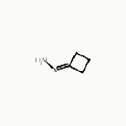 NN=C1CCC1